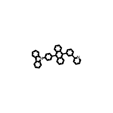 c1ccc(-c2cccc(-c3c4ccccc4c(-c4ccc(-n5c6ccccc6c6ccccc65)cc4)c4ccccc34)c2)nc1